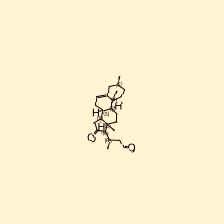 C[C@H]1CC[C@@]2(C)C(=CC[C@H]3[C@@H]4CC(=O)[C@H]([C@H](C)CC=O)[C@@]4(C)CC[C@@H]32)C1